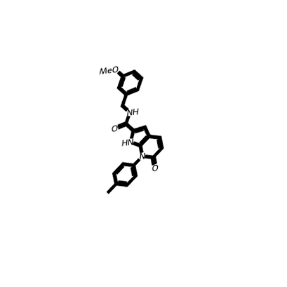 COc1cccc(CNC(=O)c2cc3ccc(=O)n(-c4ccc(C)cc4)c3[nH]2)c1